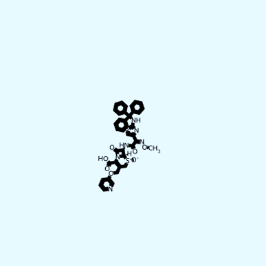 CO/N=C(\C(=O)N[C@@H]1C(=O)N2C(C(=O)O)=C(COc3cccnc3)C[S+]([O-])[C@H]12)c1csc(NC(c2ccccc2)(c2ccccc2)c2ccccc2)n1